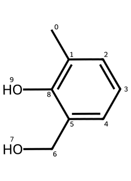 Cc1cccc(CO)c1O